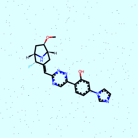 CO[C@@H]1C[C@@H]2N[C@H]1C/C(=C\c1ncc(-c3ccc(-n4ccnc4)cc3O)nn1)[C@@H]2F